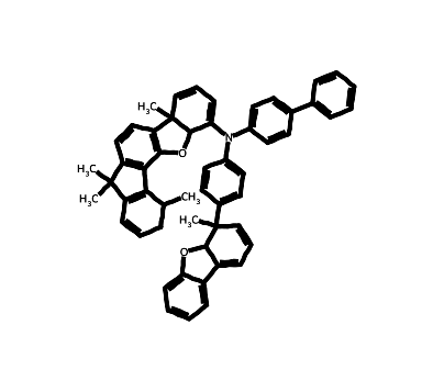 CC1CC=CC2=C1c1c(ccc3c1OC1C(N(c4ccc(-c5ccccc5)cc4)c4ccc(C5(C)C=CC=C6c7ccccc7OC65)cc4)=CC=CC31C)C2(C)C